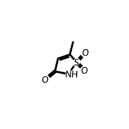 CC1=CC(=O)NS1(=O)=O